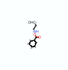 O=CCCNOC(=O)c1ccccc1